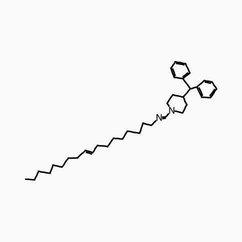 CCCCCCCCC=CCCCCCCCCN=CN1CCC(C(c2ccccc2)c2ccccc2)CC1